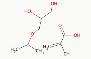 C=C(C)C(=O)O.CC(C)OCC(O)CO